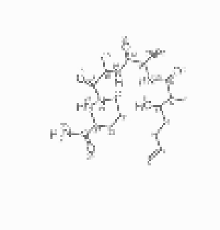 C=CCCC(O)C(C)C(=O)NC(C(=O)NC(C)C(=O)N1CCCC(C(N)=O)N1)C(C)C